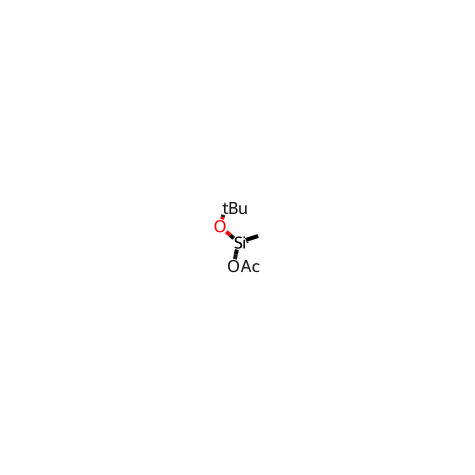 CC(=O)O[Si](C)OC(C)(C)C